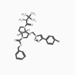 CC(C)(C)[C@H](N)C(=O)N1CC[C@@H]2[C@H]1[C@@H](Cn1cc(-c3ccc(F)cc3)nn1)CN2C(=O)OCc1ccccc1